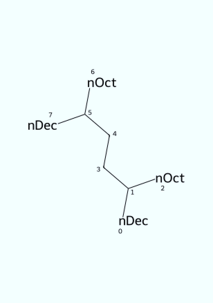 CCCCCCCCCCC(CCCCCCCC)CCC(CCCCCCCC)CCCCCCCCCC